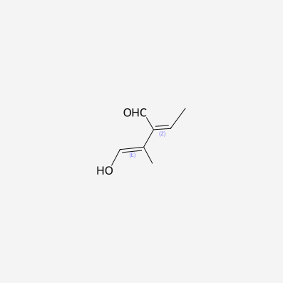 C/C=C(C=O)/C(C)=C/O